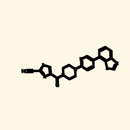 C#Cc1nc(C(=O)N2CCN(c3ccc(-c4cccc5ncsc45)cn3)CC2)cs1